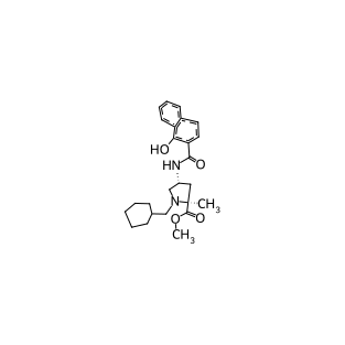 COC(=O)[C@]1(C)C[C@@H](NC(=O)c2ccc3ccccc3c2O)CN1CC1CCCCC1